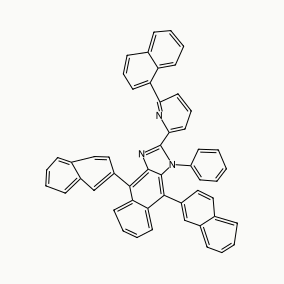 c1ccc(-n2c(-c3cccc(-c4cccc5ccccc45)n3)nc3c(-c4ccc5ccccc5c4)c4ccccc4c(-c4ccc5ccccc5c4)c32)cc1